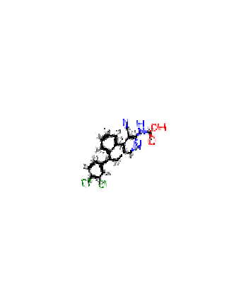 N#Cc1c(NC(=O)O)ncc2c1-c1ccccc1C(c1ccc(Cl)c(Cl)c1)C2